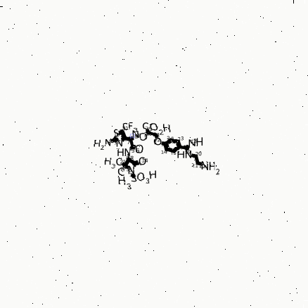 CC1(C)[C@H](NC(=O)/C(=N\OC(COc2ccc(C(=N)NCCN)cc2)C(=O)O)c2nc(N)sc2C(F)(F)F)C(=O)N1S(=O)(=O)O